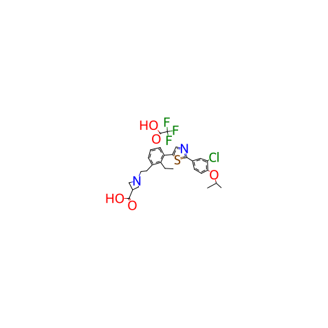 CCc1c(CCN2CC(C(=O)O)C2)cccc1-c1cnc(-c2ccc(OC(C)C)c(Cl)c2)s1.O=C(O)C(F)(F)F